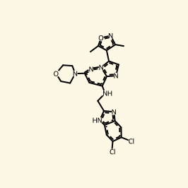 Cc1noc(C)c1-c1cnc2c(NCc3nc4cc(Cl)c(Cl)cc4[nH]3)cc(N3CCOCC3)nn12